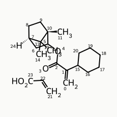 C=C(C(=O)OC1C[C@H]2CC[C@@]1(C)C2(C)C)C1CCCCC1.C=CC(=O)O